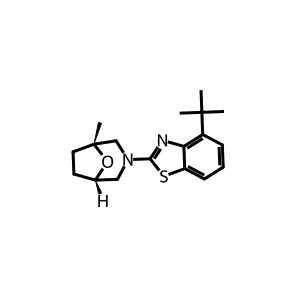 CC(C)(C)c1cccc2sc(N3C[C@@H]4CC[C@](C)(C3)O4)nc12